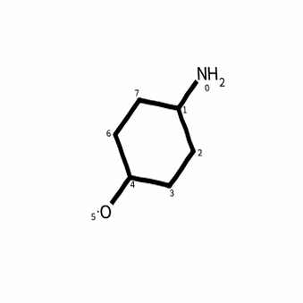 NC1CCC([O])CC1